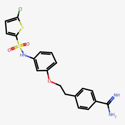 N=C(N)c1ccc(CCOc2cccc(NS(=O)(=O)c3ccc(Cl)s3)c2)cc1